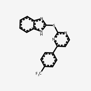 FC(F)(F)c1ccc(-c2ccnc(Sc3nc4ccccc4[nH]3)n2)cc1